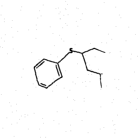 C[CH]CC(CC)Sc1ccccc1